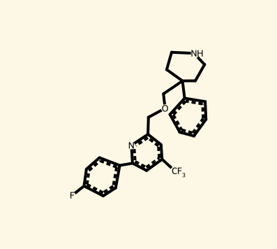 Fc1ccc(-c2cc(C(F)(F)F)cc(COCC3(c4ccccc4)CCNCC3)n2)cc1